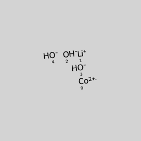 [Co+2].[Li+].[OH-].[OH-].[OH-]